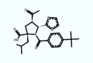 CC(=O)[C@@H]1C[C@@](CC(C)C)(C(=O)O)N(C(=O)c2ccc(C(C)(C)C)cc2)[C@H]1c1nccs1